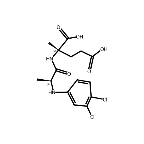 C[C@H](Nc1ccc(Cl)c(Cl)c1)C(=O)N[C@@](C)(CCC(=O)O)C(=O)O